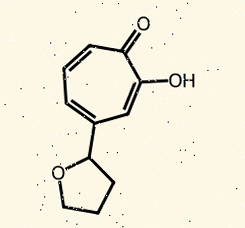 O=c1cccc(C2CCCO2)cc1O